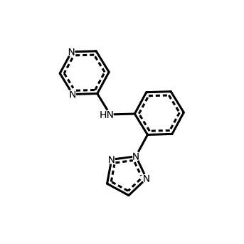 c1ccc(-n2nccn2)c(Nc2ccncn2)c1